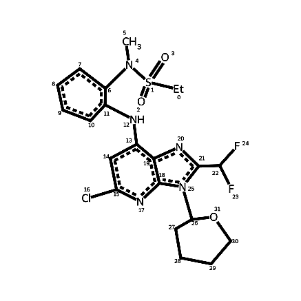 CCS(=O)(=O)N(C)c1ccccc1Nc1cc(Cl)nc2c1nc(C(F)F)n2C1CCCCO1